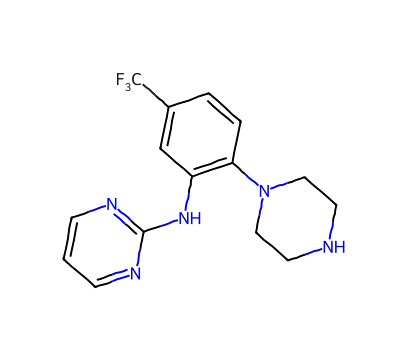 FC(F)(F)c1ccc(N2CCNCC2)c(Nc2ncccn2)c1